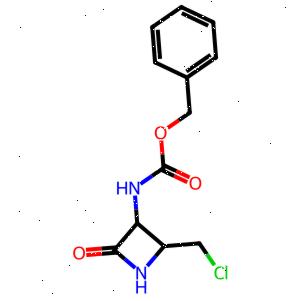 O=C(NC1C(=O)NC1CCl)OCc1ccccc1